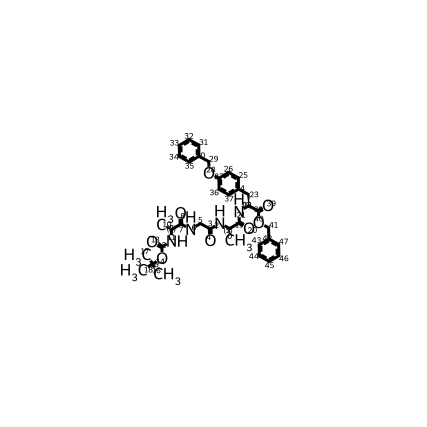 C[C@H](NC(=O)CNC(=O)[C@H](C)NC(=O)OC(C)(C)C)C(=O)N[C@@H](Cc1ccc(OCc2ccccc2)cc1)C(=O)OCc1ccccc1